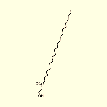 CCCCCCCCCCCCCCCCCCCCCC[S+]([O-])CCO